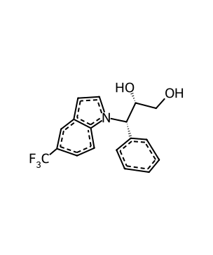 OC[C@@H](O)[C@H](c1ccccc1)n1ccc2cc(C(F)(F)F)ccc21